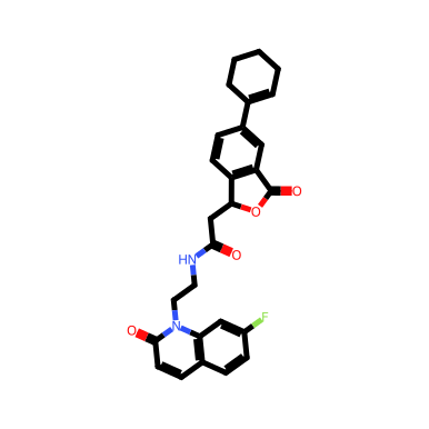 O=C(CC1OC(=O)c2cc(C3=CCCCC3)ccc21)NCCn1c(=O)ccc2ccc(F)cc21